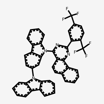 FC(F)(F)c1ccc(C(F)(F)F)c(-c2nc(-n3c4ccccc4c4ccc(-n5c6ccccc6c6ccccc65)cc43)c3ccc4ccccc4c3n2)c1